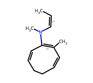 C/C=C\N(C)/C1=C(\C)C=CCCC=C1